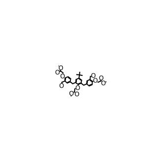 COC(=O)COc1ccc(Cc2cc(C(C)(C)C)cc(Cc3ccc(OCC(=O)OC)c(C=O)c3)c2OCC(=O)OC)cc1C=O